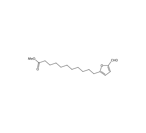 COC(=O)CCCCCCCCCCc1ccc(C=O)o1